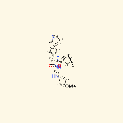 COc1ccc(NCCNC(=O)[C@H](Cc2ccc(-c3cccnc3)cc2)NC(=O)c2cccc(C)c2)cc1